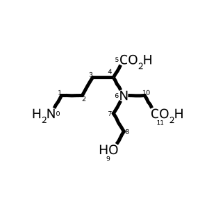 NCCCC(C(=O)O)N(CCO)CC(=O)O